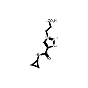 O=C(O)CC[n+]1cc(C(=O)NC2CC2)sn1